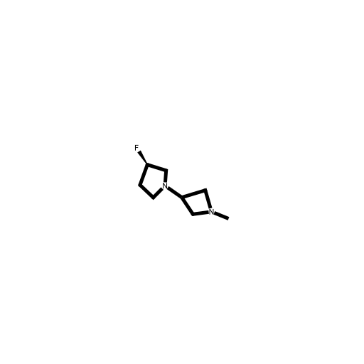 CN1CC(N2CC[C@@H](F)C2)C1